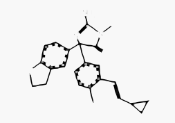 CN1C(=O)C(c2ccc(F)c(/C=C/C3CC3)c2)(c2ccc3c(c2)CCO3)N=C1N